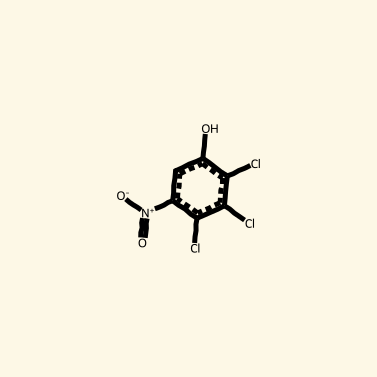 O=[N+]([O-])c1cc(O)c(Cl)c(Cl)c1Cl